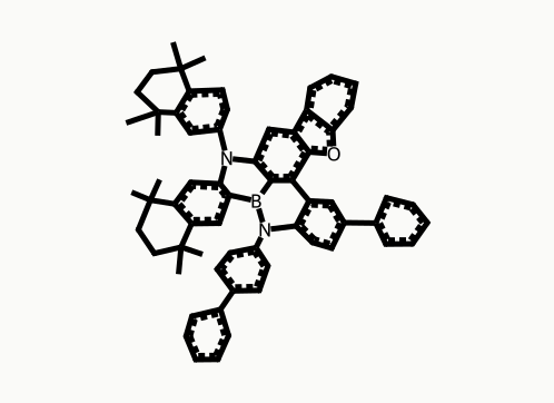 CC1(C)CCC(C)(C)c2cc(N3c4cc5c(cc4B4c6c3cc3c(oc7ccccc73)c6-c3cc(-c6ccccc6)ccc3N4c3ccc(-c4ccccc4)cc3)C(C)(C)CCC5(C)C)ccc21